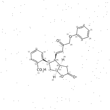 O=C(C=C[C@H]1[C@H]2CC(=O)O[C@H]2C[C@H]1c1ccccc1C(=O)O)COc1ccccc1